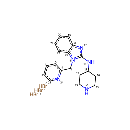 Br.Br.Br.c1ccc(Cn2c(NC3CCNCC3)nc3ccccc32)nc1